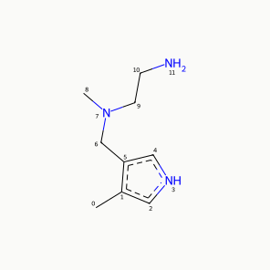 Cc1c[nH]cc1CN(C)CCN